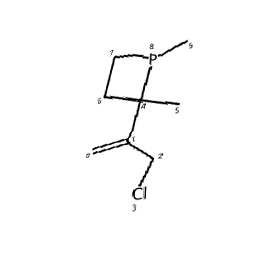 C=C(CCl)C1(C)CCP1C